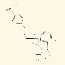 [2H]C1([2H])CCC([2H])(c2ccccc2C(C)C)N1C1CC2(CCN(c3ccc(C(N)=O)cc3)CC2)C1